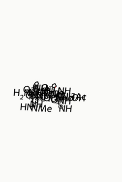 CNC(=N)NCCC[C@H](NC(=O)[C@H](CC(C)C)NC(=O)NNC(=O)[C@H](Cc1ccccc1)NC(=O)[C@@H](NC(=O)[C@H](CC(N)=O)NC(=O)[C@H](CC1CCNCC1)NC(=O)[C@@H](Cc1ccc(O)cc1)NC(C)=O)[C@@H](C)O)C(=O)N[C@@H](Cc1c[nH]c2ccccc12)C(N)=O